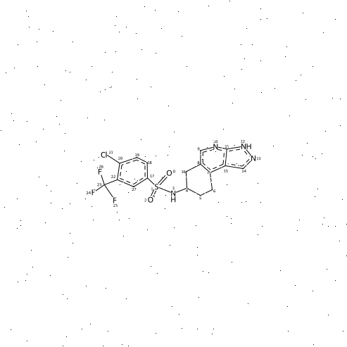 O=S(=O)(NC1CCc2c(cnc3[nH]ncc23)C1)c1ccc(Cl)c(C(F)(F)F)c1